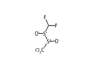 [O-][S+](C(F)F)[S+]([O-])C(Cl)(Cl)Cl